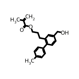 C=C(C)C(=O)OCCCc1cc(CO)ccc1-c1ccc(C)cc1